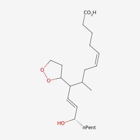 CCCCC[C@H](O)/C=C/C(C(C)C/C=C\CCCC(=O)O)C1CCOO1